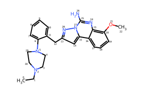 CCN1CCN(c2ccccc2Cc2cc3c4cccc(OC)c4nc(N)n3n2)CC1